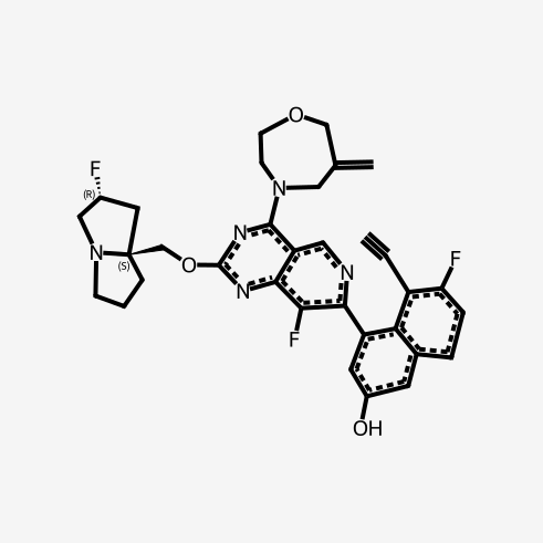 C#Cc1c(F)ccc2cc(O)cc(-c3ncc4c(N5CCOCC(=C)C5)nc(OC[C@@]56CCCN5C[C@H](F)C6)nc4c3F)c12